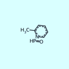 Cc1ccccn1.O=P